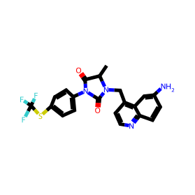 CC1C(=O)N(c2ccc(SC(F)(F)F)cc2)C(=O)N1Cc1ccnc2ccc(N)cc12